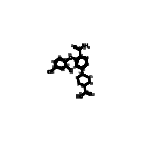 NC(=O)c1ccc(N2CCC(C(=O)O)CC2)cc1Oc1ccc(Cl)cc1Cl